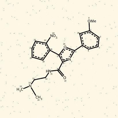 COc1cccc(-c2nc(C(=O)NCCN(C)C)c(-c3ccccc3[N+](=O)[O-])o2)c1